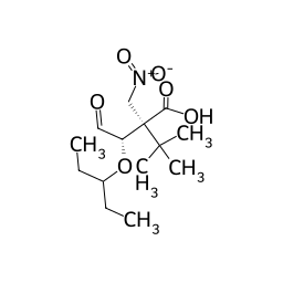 CCC(CC)O[C@H](C=O)[C@@](C[N+](=O)[O-])(C(=O)O)C(C)(C)C